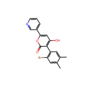 Cc1cc(Br)c(-c2c(O)cc(-c3cccnc3)oc2=O)cc1C